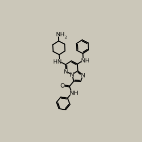 NC1CCC(Nc2cc(Nc3ccccc3)c3ncc(C(=O)Nc4ccccc4)n3n2)CC1